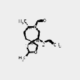 C=CN[C@@H]1CN(C=O)[C@@H](C)CC[C@]12COC(C)O2